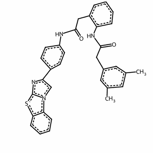 Cc1cc(C)cc(CC(=O)Nc2ccccc2CC(=O)Nc2ccc(-c3cn4c(n3)sc3ccccc34)cc2)c1